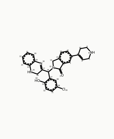 O=C1c2cc(C3=CCNCC3)ccc2CN1C(C1=Nc2ccccc2NC1)c1cc(Cl)ccc1O